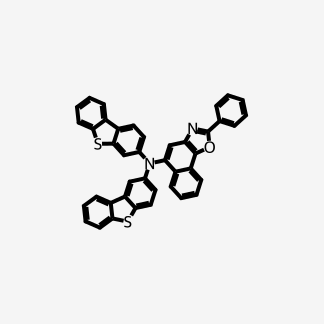 c1ccc(-c2nc3cc(N(c4ccc5c(c4)sc4ccccc45)c4ccc5sc6ccccc6c5c4)c4ccccc4c3o2)cc1